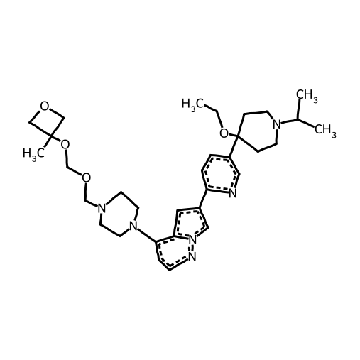 CCOC1(c2ccc(-c3cc4c(N5CCN(COCOC6(C)COC6)CC5)ccnn4c3)nc2)CCN(C(C)C)CC1